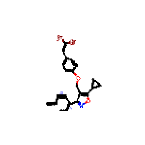 C=C/C=C\C(=C/C)c1noc(C2CC2)c1COc1ccc(C=C(Br)Br)cc1